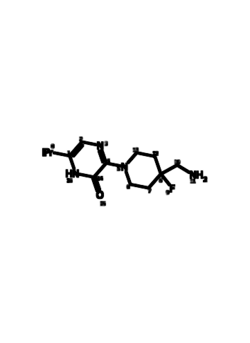 CC(C)c1cnc(N2CCC(F)(CN)CC2)c(=O)[nH]1